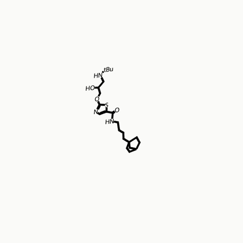 CC(C)(C)NCC(O)COc1ncc(C(=O)NCCCCC23CCC(CC2)C3)s1